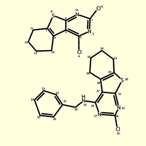 Clc1nc(Cl)c2c3c(sc2n1)CCCC3.Clc1nc(NCc2ccccc2)c2c3c(sc2n1)CCCC3